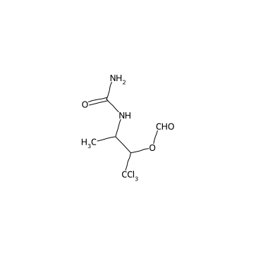 CC(NC(N)=O)C(OC=O)C(Cl)(Cl)Cl